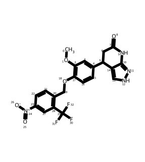 COc1cc(C2CC(=O)Nc3n[nH]cc32)ccc1OCc1ccc([N+](=O)[O-])cc1C(F)(F)F